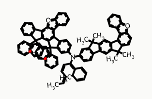 C\C=C/C=C\C(=C1\C=CC=CC1C)N(c1ccc2c(c1)C(C)(C)c1cc3c(cc1-2)C(C)(C)c1ccc2oc4ccccc4c2c1-3)c1ccc2c(c1)C(c1ccccc1)(c1ccccc1)c1c3c(c4oc5ccccc5c4c1-2)-c1ccccc1C3(c1ccccc1)c1ccccc1